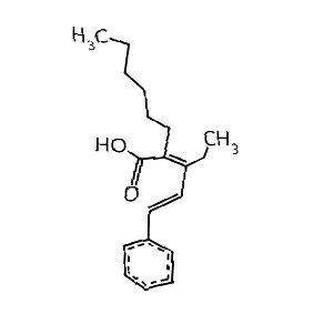 CCCCCCC(C(=O)O)=C(C=Cc1ccccc1)CC